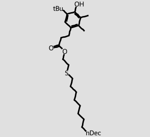 CCCCCCCCCCCCCCCCCCSCCOC(=O)CCc1cc(C(C)(C)C)c(O)c(C)c1C